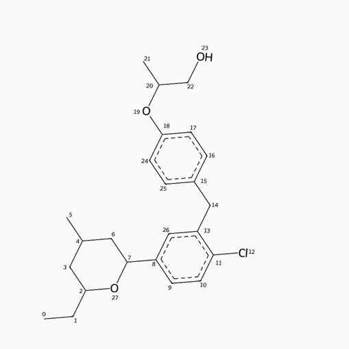 CCC1CC(C)CC(c2ccc(Cl)c(Cc3ccc(OC(C)CO)cc3)c2)O1